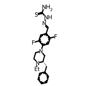 CCN1CCN(c2cc(F)c(/C=N/NC(N)=S)cc2F)C[C@@H]1Cc1ccccc1